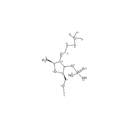 B[C@@H]1O[C@H](COI)C(OP(=O)(O)O)C1OCSSC(C)(C)C